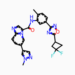 Cc1ccc(-c2noc(C3CC(F)(F)C3)n2)cc1NC(=O)c1cnc2ccc(-c3cnn(C)c3)cn12